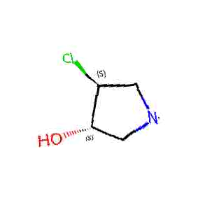 O[C@H]1C[N]C[C@@H]1Cl